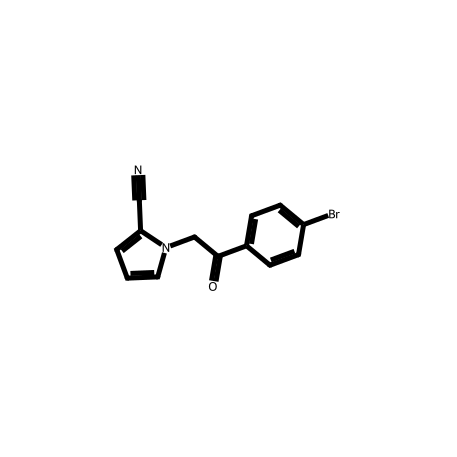 N#Cc1cccn1CC(=O)c1ccc(Br)cc1